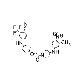 Cc1cc(NC2CCN(C(=O)COC3CCC(Nc4ccc(C#N)c(C(F)(F)F)c4)CC3)CC2)ccc1[N+](=O)[O-]